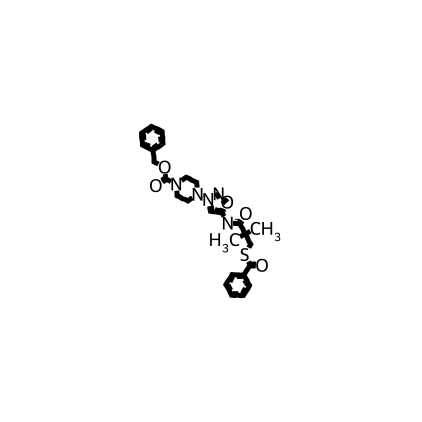 CC(C)(CSC(=O)c1ccccc1)C(=O)[N-]c1c[n+](N2CCN(C(=O)OCc3ccccc3)CC2)no1